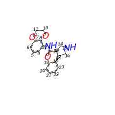 O=C(Nc1cccc2c1OCCO2)[C@H]1CNC[C@@H]1c1ccccc1